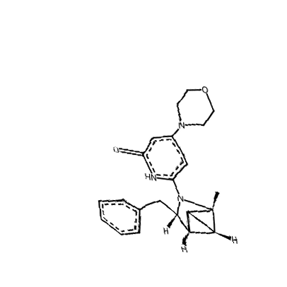 C[C@@]12C3[C@@H]([C@H](Cc4ccccc4)N1c1cc(N4CCOCC4)cc(=O)[nH]1)[C@H]32